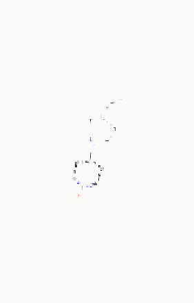 CCN1CCN(c2cc[n+]([O-])cc2)CC1